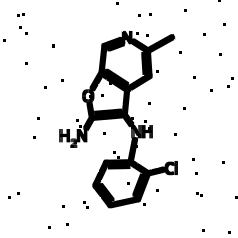 Cc1cc2c(Nc3ccccc3Cl)c(N)oc2cn1